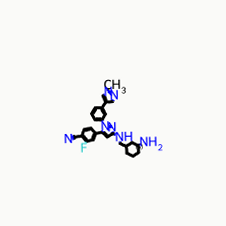 Cn1cc(-c2cccc(-n3nc(NCC4CCC[C@H](N)C4)cc3-c3ccc(C#N)c(F)c3)c2)cn1